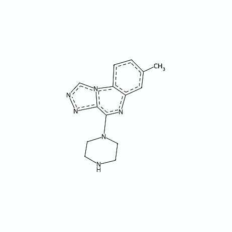 Cc1ccc2c(c1)nc(N1CCNCC1)c1nncn12